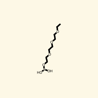 CCOCCOCCOCCOB(O)O